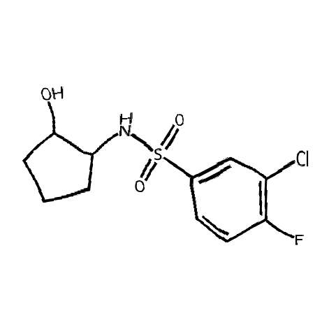 O=S(=O)(NC1CCCC1O)c1ccc(F)c(Cl)c1